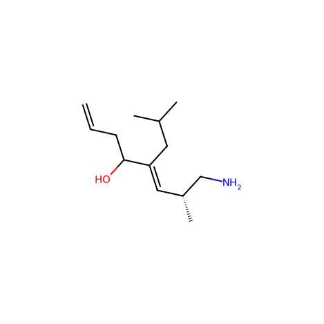 C=CCC(O)/C(=C/[C@@H](C)CN)CC(C)C